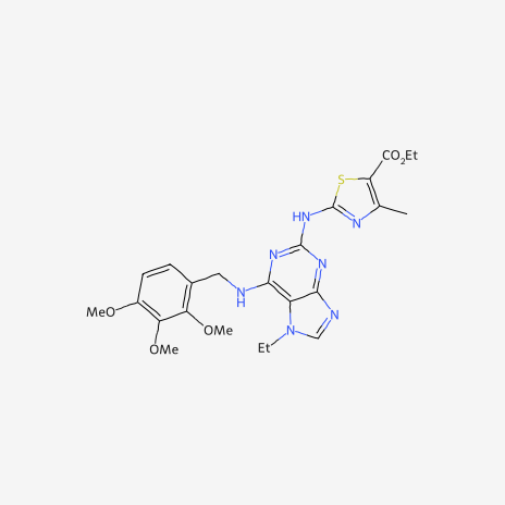 CCOC(=O)c1sc(Nc2nc(NCc3ccc(OC)c(OC)c3OC)c3c(ncn3CC)n2)nc1C